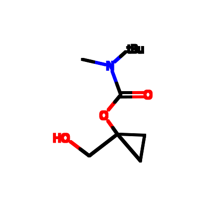 CN(C(=O)OC1(CO)CC1)C(C)(C)C